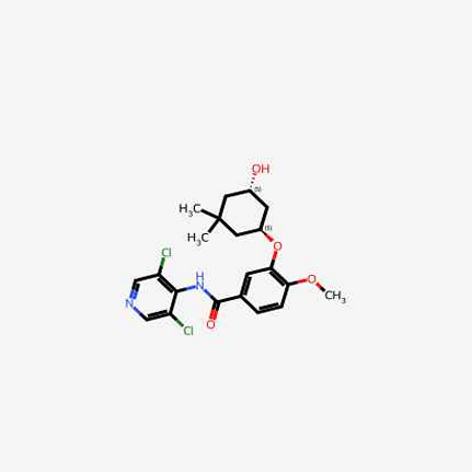 COc1ccc(C(=O)Nc2c(Cl)cncc2Cl)cc1O[C@@H]1C[C@@H](O)CC(C)(C)C1